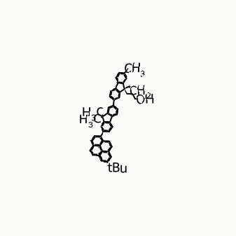 C=CC1(CCCO)c2cc(C)ccc2-c2ccc(-c3ccc4c(c3)C(C)(C)c3cc(-c5ccc6ccc7cc(C(C)(C)C)cc8ccc5c6c78)ccc3-4)cc21